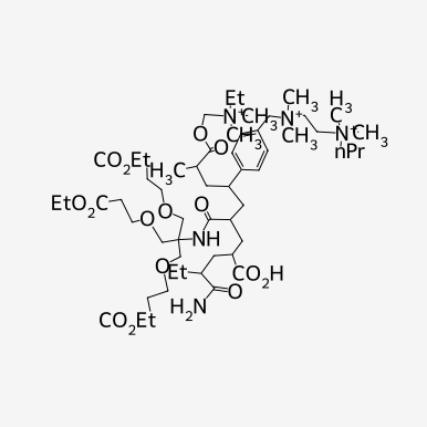 CCC[N+](C)(C)CC[N+](C)(C)Cc1ccc(C(CC(C)C(=O)OC[N+](C)(C)CC)CC(CC(CC(CC)C(N)=O)C(=O)O)C(=O)NC(COCCC(=O)OCC)(COCCC(=O)OCC)COCCC(=O)OCC)cc1